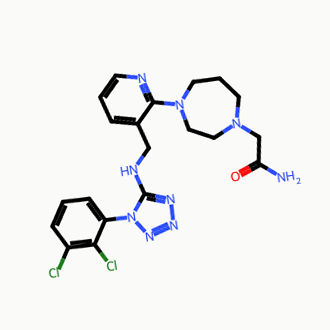 NC(=O)CN1CCCN(c2ncccc2CNc2nnnn2-c2cccc(Cl)c2Cl)CC1